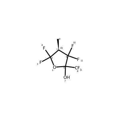 C[C@@H]1C(F)(F)OC(O)(C(F)(F)F)C1(F)F